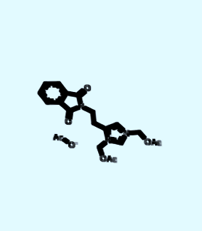 CC(=O)OCn1cc(CCN2C(=O)c3ccccc3C2=O)[n+](COC(C)=O)c1.CC(=O)[O-]